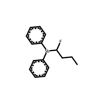 CCC[CH](F)[Sb]([c]1ccccc1)[c]1ccccc1